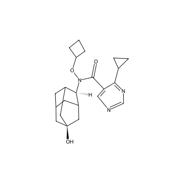 O=C(c1cncnc1C1CC1)N(OC1CCC1)[C@H]1C2CC3CC1C[C@@](O)(C3)C2